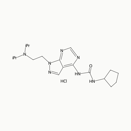 CC(C)N(CCn1ncc2c(NC(=O)NC3CCCC3)ncnc21)C(C)C.Cl